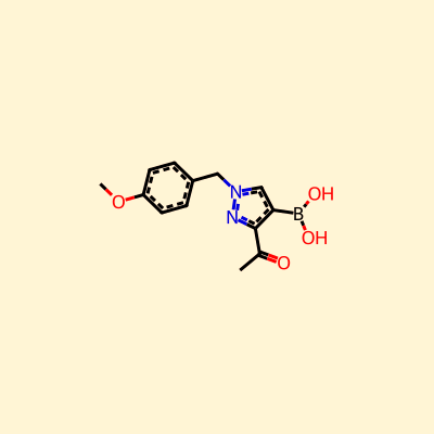 COc1ccc(Cn2cc(B(O)O)c(C(C)=O)n2)cc1